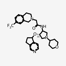 O=C(CN1CCc2ccc(C(F)(F)F)cc2C1)NC1CN(C2CCOCC2)C[C@@H]1OC1CCc2cnccc21